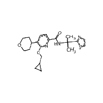 CC(C)(NC(=O)c1ccc(C2CCOCC2)c(OCC2CC2)n1)c1nccs1